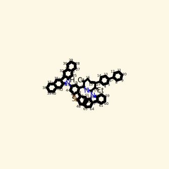 CCC1/C(c2ccc(-c3ccccc3)cc2)=C/CC(C)/C(c2cc(-n3c4cc5ccccc5cc4c4cc5ccccc5cc43)cc3sc4ccccc4c23)=N\C1n1c2ccccc2c2ccccc21